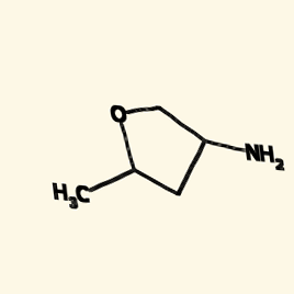 CC1CC(N)CO1